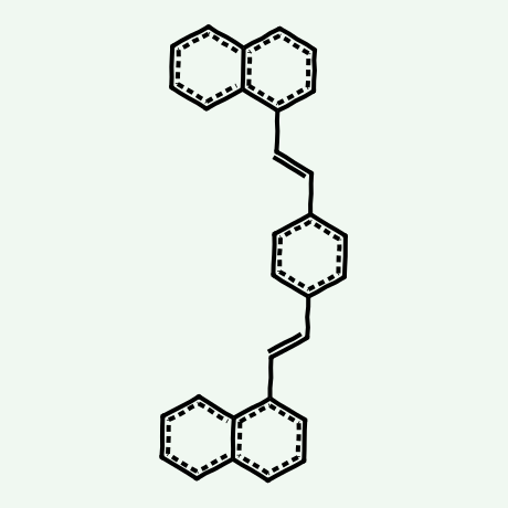 C(=Cc1cccc2ccccc12)c1ccc(C=Cc2cccc3ccccc23)cc1